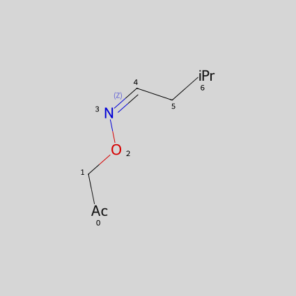 CC(=O)CO/N=C\CC(C)C